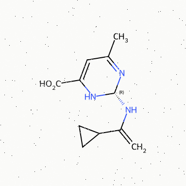 C=C(N[C@H]1N=C(C)C=C(C(=O)O)N1)C1CC1